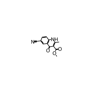 COC(=O)c1c(C)[nH]c2ccc(C#N)cc2c1=O